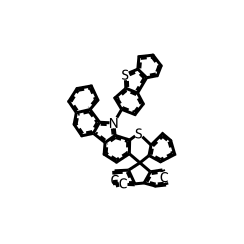 c1ccc2c(c1)Sc1c(ccc3c4ccc5ccccc5c4n(-c4ccc5c(c4)sc4ccccc45)c13)C21c2ccccc2-c2ccccc21